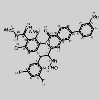 CNc1c(-n2c(C(Cc3cc(F)cc(F)c3)NC=O)nc3cc(-c4cccc(C(C)(C)C)c4)ccc3c2=O)ccc(Cl)c1C(=N)NSC